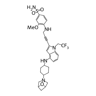 COc1cc(S(N)(=O)=O)ccc1NCC#Cc1cc2c(NC3CCC(N4CC5CC(C4)O5)CC3)cccc2n1CC(F)(F)F